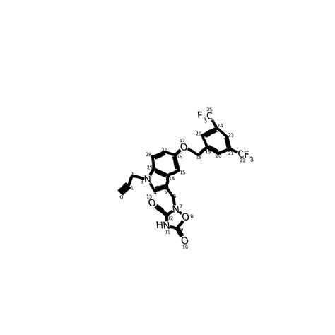 C#CCn1cc(Cn2oc(=O)[nH]c2=O)c2cc(OCc3cc(C(F)(F)F)cc(C(F)(F)F)c3)ccc21